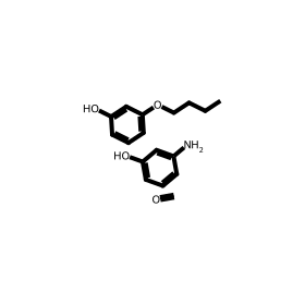 C=O.CCCCOc1cccc(O)c1.Nc1cccc(O)c1